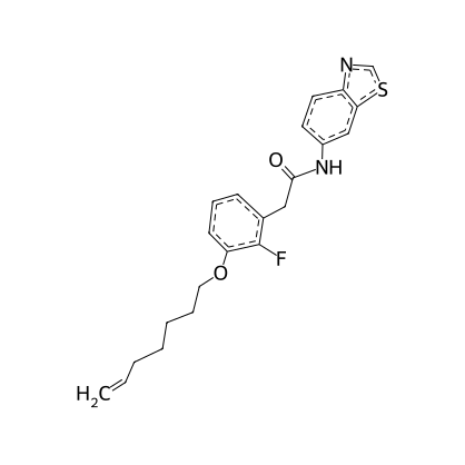 C=CCCCCCOc1cccc(CC(=O)Nc2ccc3ncsc3c2)c1F